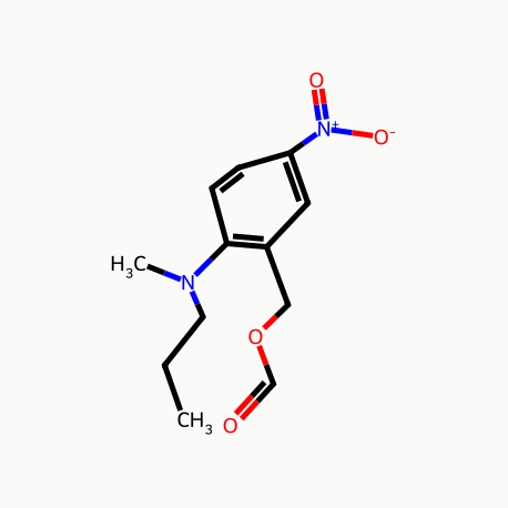 CCCN(C)c1ccc([N+](=O)[O-])cc1COC=O